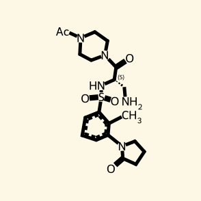 CC(=O)N1CCN(C(=O)[C@H](CN)NS(=O)(=O)c2cccc(N3CCCC3=O)c2C)CC1